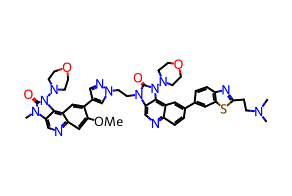 COc1cc2ncc3c(c2cc1-c1cnn(CCn2c(=O)n(N4CCOCC4)c4c5cc(-c6ccc7nc(CCN(C)C)sc7c6)ccc5ncc42)c1)n(N1CCOCC1)c(=O)n3C